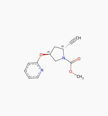 C#C[C@H]1C[C@H](Oc2ccccn2)CN1C(=O)OC